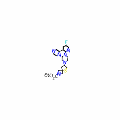 CCOC(=O)N1CC2(C[C@H](N3CCN(c4ncc(F)cc4-c4cnccn4)CC3)CS2)C1